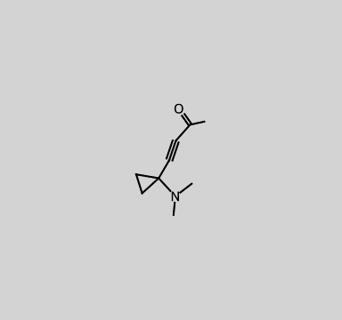 CC(=O)C#CC1(N(C)C)CC1